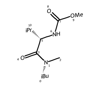 CC[C@@H](C)N(C)C(=O)[C@@H](NC(=O)OC)C(C)C